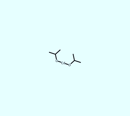 CC(C)[O][Cd][O]C(C)C